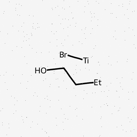 CCCCO.[Ti][Br]